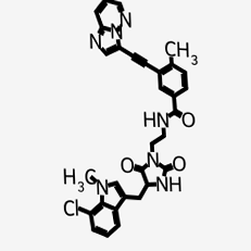 Cc1ccc(C(=O)NCCN2C(=O)NC(Cc3cn(C)c4c(Cl)cccc34)C2=O)cc1C#Cc1cnc2cccnn12